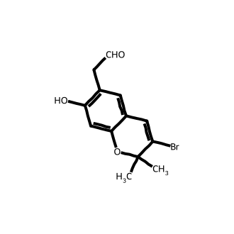 CC1(C)Oc2cc(O)c(CC=O)cc2C=C1Br